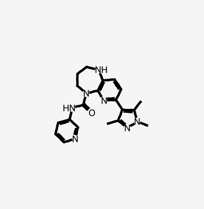 Cc1nn(C)c(C)c1-c1ccc2c(n1)N(C(=O)Nc1cccnc1)CCCN2